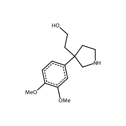 COc1ccc(C2(CCO)CCNC2)cc1OC